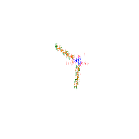 CCN(c1nc(N(CC(F)(F)OC(F)(F)C(F)(F)OC(F)(F)C(F)(F)OC(F)(F)C(F)(F)OC(F)(F)C(F)(F)OC(F)(F)C(F)(F)OC(F)(F)C(F)(F)F)C(CO)CO)nc(N(CC(F)(F)OC(F)(F)C(F)(F)OC(F)(F)C(F)(F)OC(F)(F)C(F)(F)OC(F)(F)C(F)(F)OC(F)(F)C(F)(F)OC(F)(F)C(F)(F)F)C(CO)CO)n1)C(CO)CO